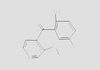 COc1cnccc1C(=O)c1cc(Cl)ccc1N